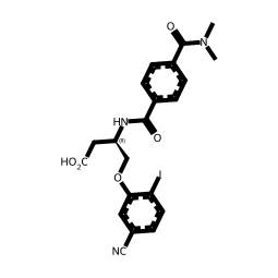 CN(C)C(=O)c1ccc(C(=O)N[C@@H](COc2cc(C#N)ccc2I)CC(=O)O)cc1